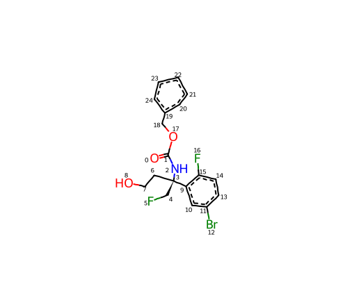 O=C(N[C@@](CF)(CCO)c1cc(Br)ccc1F)OCc1ccccc1